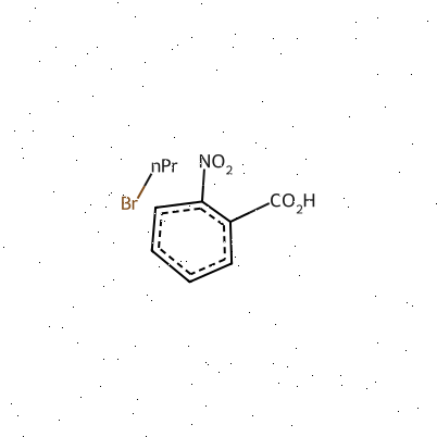 CCCBr.O=C(O)c1ccccc1[N+](=O)[O-]